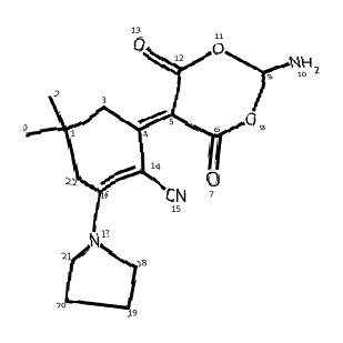 CC1(C)CC(=C2C(=O)OC(N)OC2=O)C(C#N)=C(N2CCCC2)C1